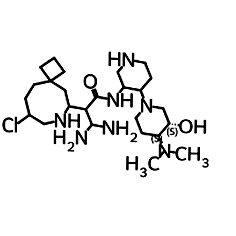 CN(C)[C@H]1CCN(C2CCNCC2NC(=O)C(C(N)N)C2CC3(CCC3)CCC(Cl)CN2)C[C@@H]1O